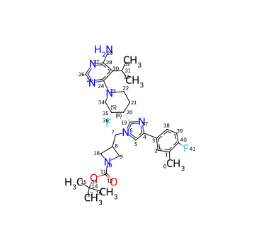 Cc1cc(-c2cn(CC3CN(C(=O)OC(C)(C)C)C3)c([C@H]3CCN(c4ncnc(N)c4C(C)C)C[C@H]3F)n2)ccc1F